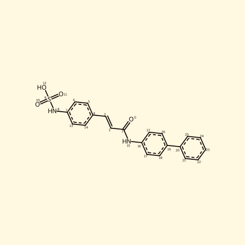 O=C(C=Cc1ccc(NS(=O)(=O)O)cc1)Nc1ccc(-c2ccccc2)cc1